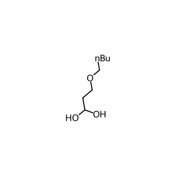 CCCCCOCCC(O)O